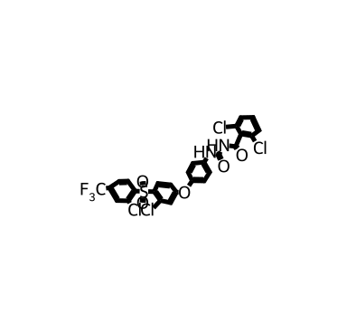 O=C(NC(=O)c1c(Cl)cccc1Cl)Nc1ccc(Oc2ccc(S(=O)(=O)c3ccc(C(F)(F)F)cc3Cl)c(Cl)c2)cc1